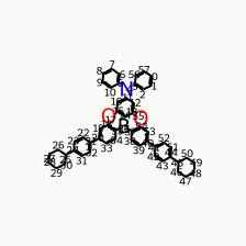 c1ccc(N(c2ccccc2)c2cc3c4c(c2)Oc2cc(-c5ccc(C6CCCCC6)cc5)ccc2B4c2ccc(-c4ccc(C5CCCCC5)cc4)cc2O3)cc1